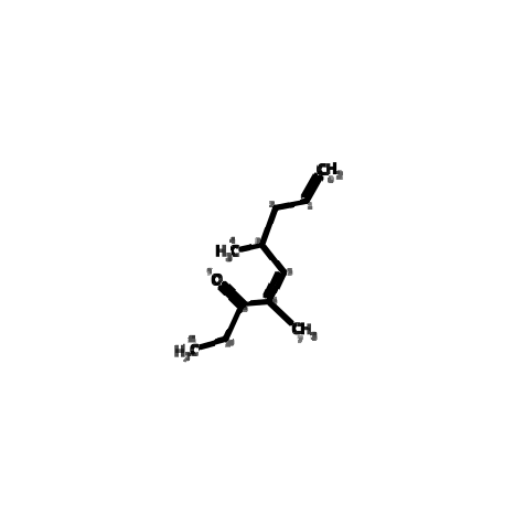 C=CCC(C)C=C(C)C(=O)CC